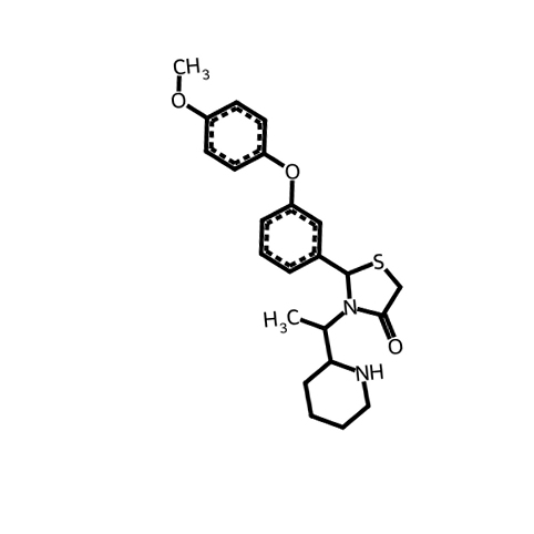 COc1ccc(Oc2cccc(C3SCC(=O)N3C(C)C3CCCCN3)c2)cc1